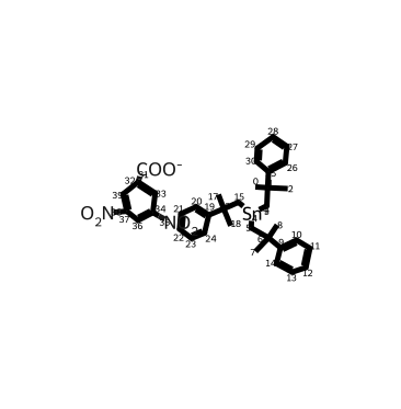 CC(C)([CH2][Sn+]([CH2]C(C)(C)c1ccccc1)[CH2]C(C)(C)c1ccccc1)c1ccccc1.O=C([O-])c1cc([N+](=O)[O-])cc([N+](=O)[O-])c1